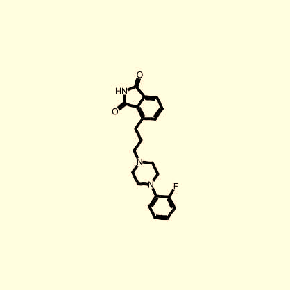 O=C1NC(=O)c2c(CCCN3CCN(c4ccccc4F)CC3)cccc21